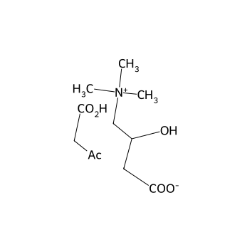 CC(=O)CC(=O)O.C[N+](C)(C)CC(O)CC(=O)[O-]